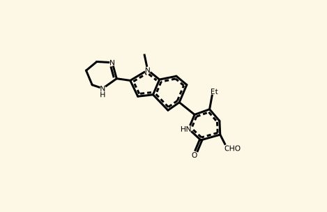 CCc1cc(C=O)c(=O)[nH]c1-c1ccc2c(c1)cc(C1=NCCCN1)n2C